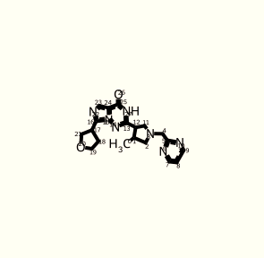 CC1CN(Cc2ncccn2)CC1c1nn2c(C3CCOC3)ncc2c(=O)[nH]1